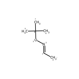 [CH2]C=NOC(C)(C)C